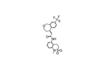 CN1c2cccc(NC(=O)/C=C3\CCOCc4cc(C(F)(F)F)ccc43)c2CCS1(=O)=O